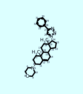 C[C@]12CC[C@@H](N3CCOCC3)CC1=CCC1C2CC[C@@]2(C)C1CC[C@H]2n1cc(-c2ccccc2)nn1